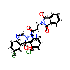 O=C(CCN1C(=O)c2ccccc2C1=O)NN1C=Nc2ccc(Cl)cc2C1(O)c1ccccc1Cl